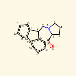 OC[C@@H]1CCCN1CC1c2ccccc2-c2ccccc21